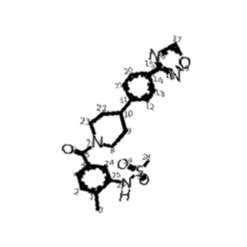 Cc1ccc(C(=O)N2CCC(c3ccc(-c4ncon4)cc3)CC2)cc1NS(C)(=O)=O